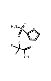 NS(=O)(=O)c1cccs1.O=C(O)C(F)(F)F